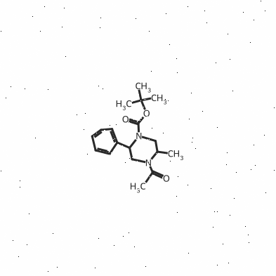 CC(=O)N1CC(c2ccccc2)N(C(=O)OC(C)(C)C)CC1C